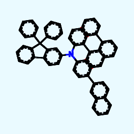 c1ccc(-c2cccc3cccc(-c4ccccc4N(c4ccc(-c5ccc6ccccc6c5)cc4)c4ccc5c(c4)C(c4ccccc4)(c4ccccc4)c4ccccc4-5)c23)cc1